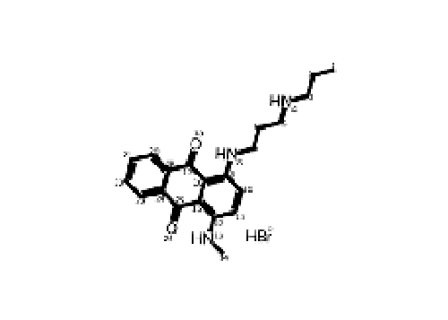 Br.CCCNCCCNc1ccc(NC)c2c1C(=O)c1ccccc1C2=O